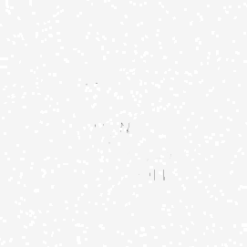 CCOCCOc1ncc(C(=O)O)cc1C